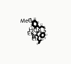 C=C(C)CCC(C(O)N1c2ccccc2SCCC1c1ccc(OC)cc1)N(CC)CC